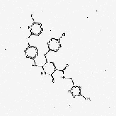 Cc1nc(CNC(=O)C2=CN(Cc3ccc(Cl)cc3)C(Nc3ccc(Oc4cccc(F)n4)cc3)NC2=O)no1